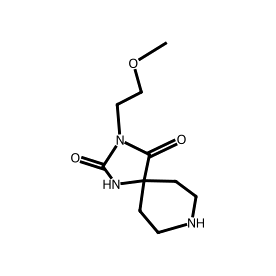 COCCN1C(=O)NC2(CCNCC2)C1=O